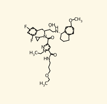 CCOCCCNC(=O)c1cc(C(=O)N(C2CC2)[C@@H](Cc2cc(F)cc(F)c2)[C@H](O)CN[C@H]2CCCc3ccc(OC)cc32)nn1CC